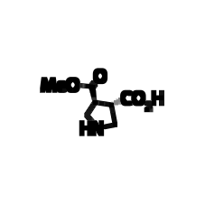 COC(=O)[C@@H]1CNC[C@H]1C(=O)O